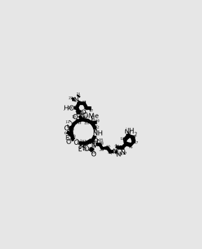 CC[C@H]1OC(=O)C(C)(F)C(=O)[C@H](C)[C@@H](O[C@@H]2OC(C)CC(N(C)C)C2O)[C@](C)(OC)CC(C)(F)CN[C@H](C)[C@H]2N(CCCCn3cc(-c4cccc(N)c4)nn3)C(=O)O[C@]12C